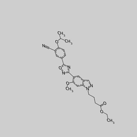 CCOC(=O)CCCn1ncc2cc(-c3noc(-c4ccc(OC(C)C)c(C#N)c4)n3)c(OC)cc21